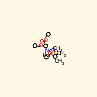 Cc1cc(C)c(S(=O)(=O)N(C)CC(=O)N(CC2CC3C=CC2C3)c2ccc(C(=O)OCc3ccccc3)c(OCc3ccccc3)c2)c(C)c1